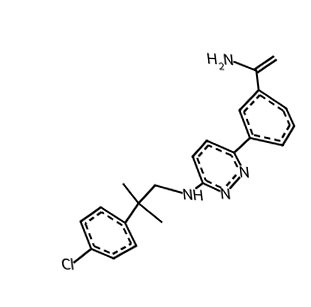 C=C(N)c1cccc(-c2ccc(NCC(C)(C)c3ccc(Cl)cc3)nn2)c1